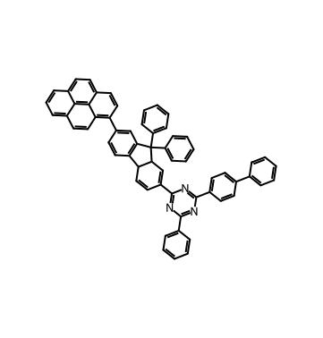 C1=CC2c3ccc(-c4ccc5ccc6cccc7ccc4c5c67)cc3C(c3ccccc3)(c3ccccc3)C2C=C1c1nc(-c2ccccc2)nc(-c2ccc(-c3ccccc3)cc2)n1